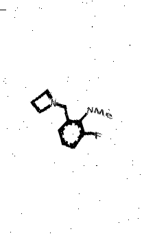 CNc1c(F)cccc1CN1CCC1